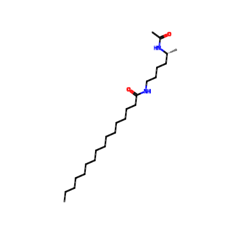 CCCCCCCCCCCCCCCC(=O)NCCCC[C@@H](C)NC(C)=O